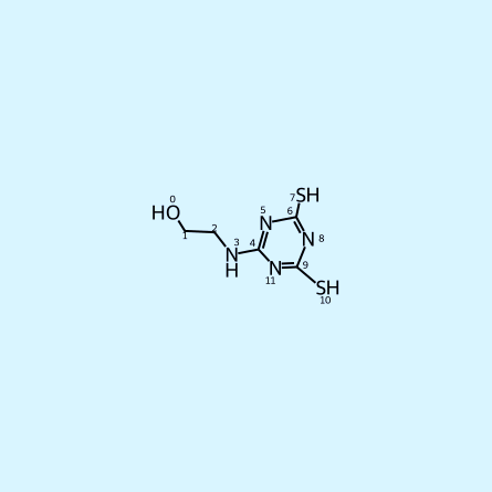 OCCNc1nc(S)nc(S)n1